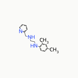 Cc1ccc(NCCNCc2ccccn2)c(C)c1